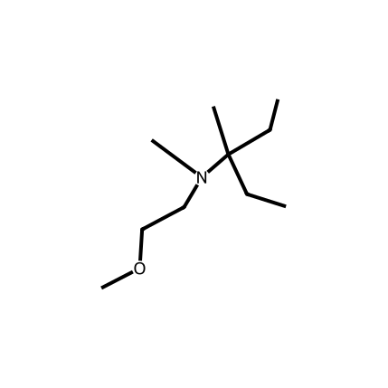 CCC(C)(CC)N(C)CCOC